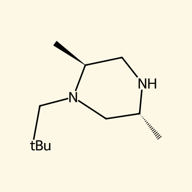 C[C@@H]1CN(CC(C)(C)C)[C@@H](C)CN1